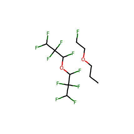 CCCOCCF.FC(F)C(F)(F)C(F)OC(F)C(F)(F)C(F)F